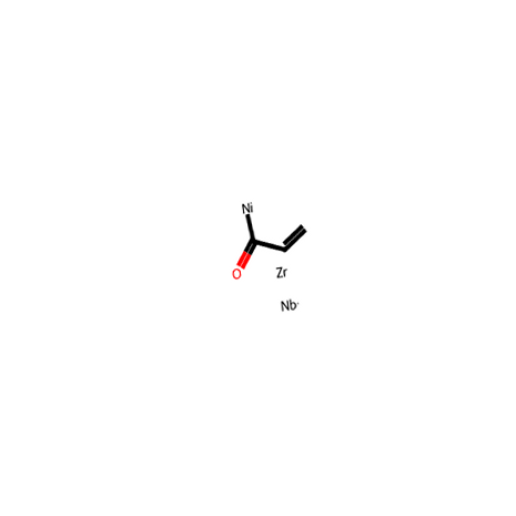 C=C[C](=O)[Ni].[Nb].[Zr]